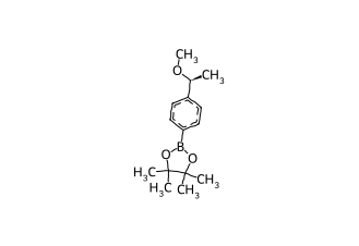 CO[C@@H](C)c1ccc(B2OC(C)(C)C(C)(C)O2)cc1